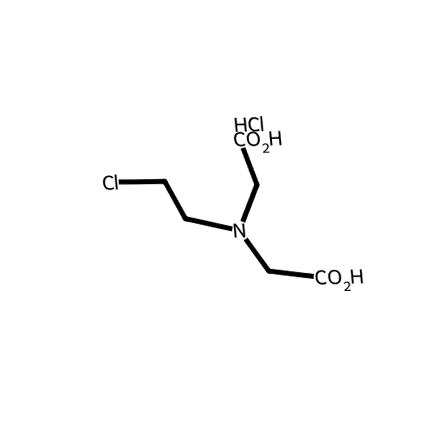 Cl.O=C(O)CN(CCCl)CC(=O)O